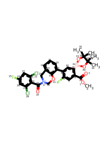 COC(=O)c1cc(F)c(-c2cccc3c2OCN(C(=O)c2c(Cl)cc(F)cc2Cl)C3)cc1B1OC(C)(C)C(C)(C)O1